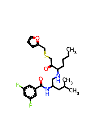 CCCCC(NCC(CC(C)C)NC(=O)c1cc(F)cc(F)c1)C(=O)CSCc1ccco1